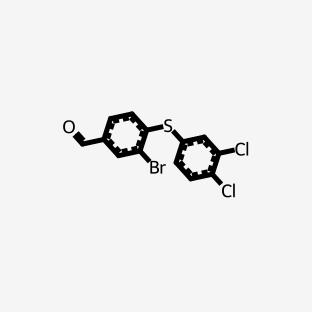 O=Cc1ccc(Sc2ccc(Cl)c(Cl)c2)c(Br)c1